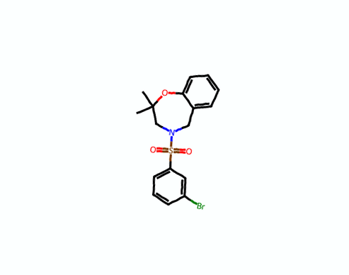 CC1(C)CN(S(=O)(=O)c2cccc(Br)c2)Cc2ccccc2O1